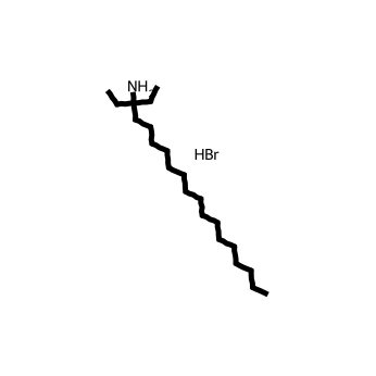 Br.CCCCCCCCCCCCCCCCC(N)(CC)CC